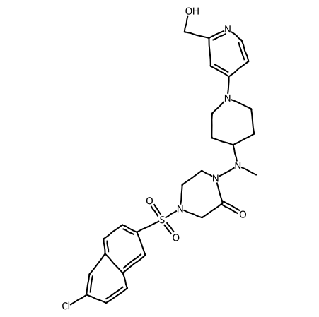 CN(C1CCN(c2ccnc(CO)c2)CC1)N1CCN(S(=O)(=O)c2ccc3cc(Cl)ccc3c2)CC1=O